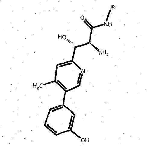 Cc1cc([C@H](O)[C@H](N)C(=O)NC(C)C)ncc1-c1cccc(O)c1